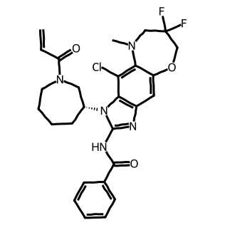 C=CC(=O)N1CCCC[C@@H](n2c(NC(=O)c3ccccc3)nc3cc4c(c(Cl)c32)N(C)CC(F)(F)CO4)C1